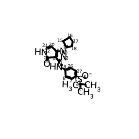 CC(C)(C)[S+]([O-])c1ccc(Nc2nn(C3CCCC3)c3cc[nH]c(=O)c23)cc1